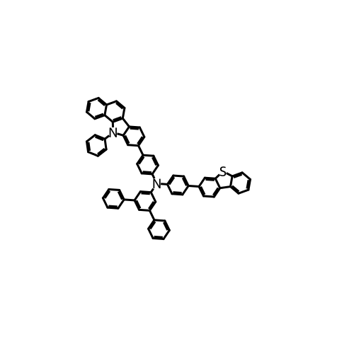 c1ccc(-c2cc(-c3ccccc3)cc(N(c3ccc(-c4ccc5c(c4)sc4ccccc45)cc3)c3ccc(-c4ccc5c6ccc7ccccc7c6n(-c6ccccc6)c5c4)cc3)c2)cc1